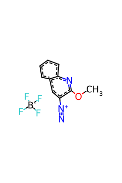 COc1nc2ccccc2cc1[N+]#N.F[B-](F)(F)F